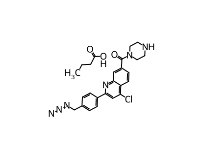 CCCC(=O)O.[N-]=[N+]=NCc1ccc(-c2cc(Cl)c3ccc(C(=O)N4CCNCC4)cc3n2)cc1